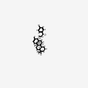 CC1=CC[C@H]2[C@]3(C)CC[C@H]4C(C)(C)CCC[C@]4(C)[C@H]3CC[C@]2(C)[C@H]1CC[C@@H](C)c1ccc(C)cc1